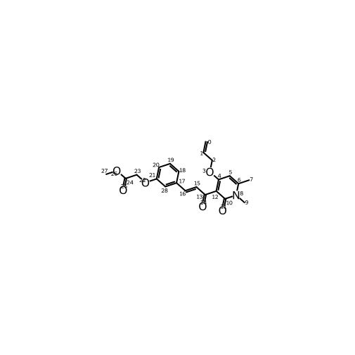 C=CCOc1cc(C)n(C)c(=O)c1C(=O)C=Cc1cccc(OCC(=O)OC)c1